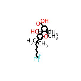 CC(C)(CCCCCC(F)(F)F)c1cc(O)c2c(c1)OC(C)(C)[C@@H]1CC=C(C(=O)O)C[C@@H]21